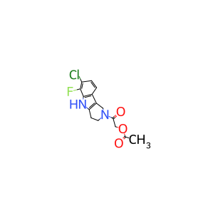 CC(=O)OCC(=O)N1CCc2[nH]c3c(F)c(Cl)ccc3c2C1